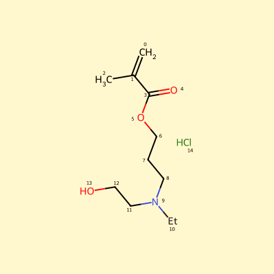 C=C(C)C(=O)OCCCN(CC)CCO.Cl